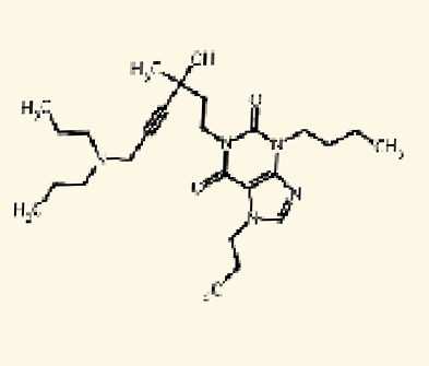 CCCCn1c(=O)n(CCC(C)(O)C#CCN(CCC)CCC)c(=O)c2c1ncn2CCC